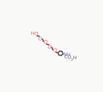 O=C(O)NC1CCC(COCCOCCOCCOCCO)CC1